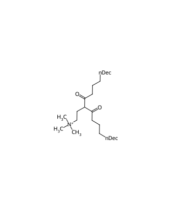 CCCCCCCCCCCCCC(=O)C(CC[N+](C)(C)C)C(=O)CCCCCCCCCCCCC